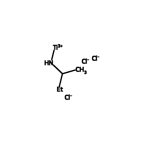 CCC(C)[NH][Ti+3].[Cl-].[Cl-].[Cl-]